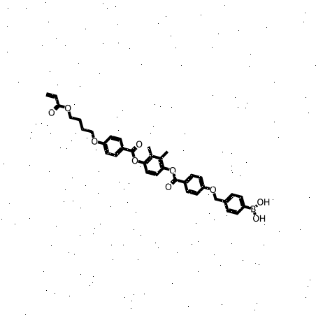 C=CC(=O)OCCCCOc1ccc(C(=O)Oc2ccc(OC(=O)c3ccc(OCc4ccc(B(O)O)cc4)cc3)c(C)c2C)cc1